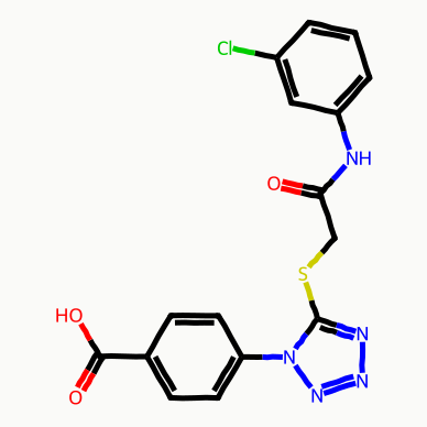 O=C(CSc1nnnn1-c1ccc(C(=O)O)cc1)Nc1cccc(Cl)c1